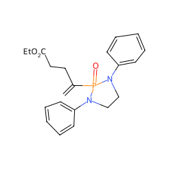 C=C(CCC(=O)OCC)P1(=O)N(c2ccccc2)CCN1c1ccccc1